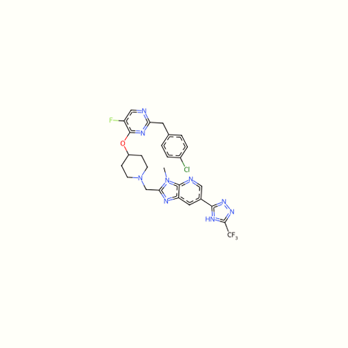 Cn1c(CN2CCC(Oc3nc(Cc4ccc(Cl)cc4)ncc3F)CC2)nc2cc(-c3nnc(C(F)(F)F)[nH]3)cnc21